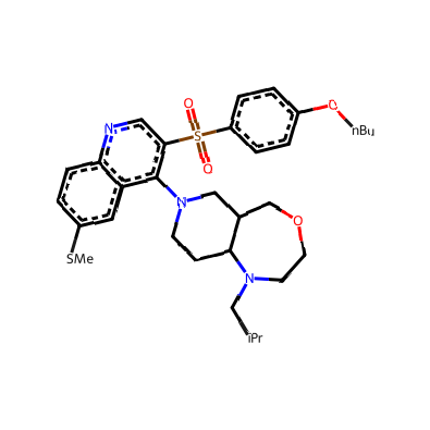 CCCCOc1ccc(S(=O)(=O)c2cnc3ccc(SC)cc3c2N2CCC3C(COCCN3CC(C)C)C2)cc1